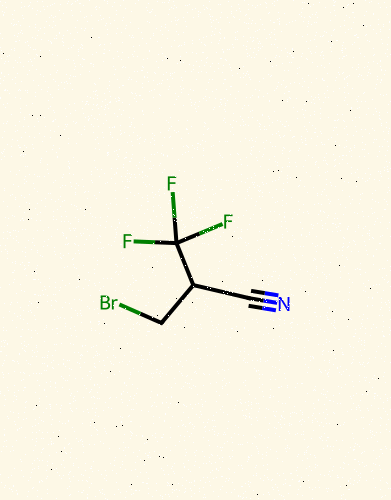 N#CC(CBr)C(F)(F)F